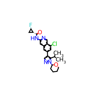 CC(C)c1c(-c2cc(Cl)c3cnc(NC(=O)[C@@H]4C[C@@H]4F)cc3c2)cnn1C1CCCCO1